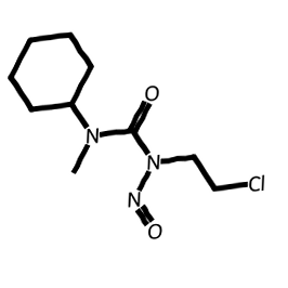 CN(C(=O)N(CCCl)N=O)C1CCCCC1